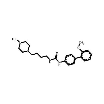 COc1ccccc1-c1ccc(NC(=O)NCCCCN2CCN(C)CC2)cc1